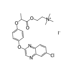 CC(Oc1ccc(Oc2cnc3cc(Cl)ccc3n2)cc1)C(=O)OCC[N+](C)(C)C.[I-]